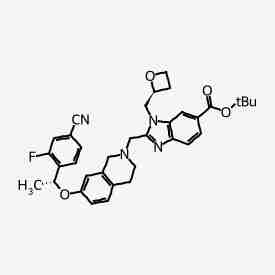 C[C@@H](Oc1ccc2c(c1)CN(Cc1nc3ccc(C(=O)OC(C)(C)C)cc3n1C[C@@H]1CCO1)CC2)c1ccc(C#N)cc1F